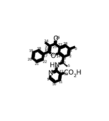 Cc1cc([C@@H](C)Nc2ncccc2C(=O)O)c2oc(-c3ccccc3)c(C)c(=O)c2c1